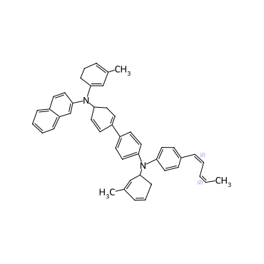 C/C=C\C=C/c1ccc(N(c2ccc(C3=CCC(N(C4=CC(C)=CCC4)c4ccc5ccccc5c4)C=C3)cc2)C2C=C(C)C=CC2)cc1